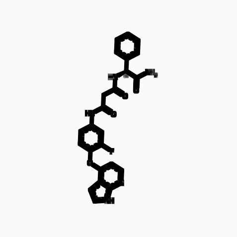 NC(=O)[C@@H](NC(=O)CC(=O)Nc1ccc(Oc2ccnc3[nH]ccc23)c(F)c1)c1ccccc1